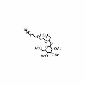 CC(=O)OC[C@H]1O[C@@H](OC(CC(=O)O)OCCOCCN=[N+]=[N-])[C@H](OC(C)=O)[C@@H](OC(C)=O)[C@@H]1OC(C)=O